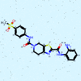 CS(=O)(=O)c1ccc(NC(=O)N2CCc3nc(C(=O)Nc4ccccc4N)sc3C2)cc1